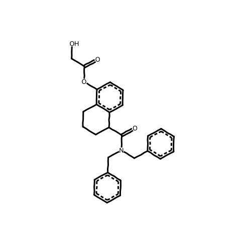 O=C(CO)Oc1cccc2c1CCCC2C(=O)N(Cc1ccccc1)Cc1ccccc1